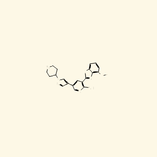 Nc1ncc(-c2cnn(C3CCNCC3)c2)cc1-c1nc2c(OC(F)(F)F)cccc2s1